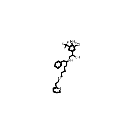 Nc1c(Cl)cc(C(O)CNC(CCCCCOCCc2ccccn2)Cc2ccccc2)cc1C(F)(F)F